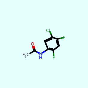 O=C(Nc1cc(Cl)c(F)cc1F)C(F)(F)F